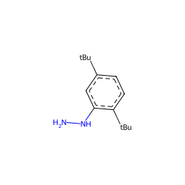 CC(C)(C)c1ccc(C(C)(C)C)c(NN)c1